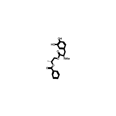 CN[C@@H](Cc1ccc(O)c(O)c1)C(=O)OC[C@@H](C)OC(=O)c1ccccc1